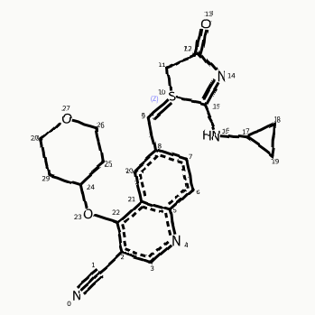 N#Cc1cnc2ccc(/C=S3/CC(=O)N=C3NC3CC3)cc2c1OC1CCOCC1